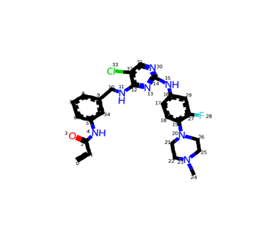 C=CC(=O)Nc1cccc(CNc2nc(Nc3ccc(N4CCN(C)CC4)c(F)c3)ncc2Cl)c1